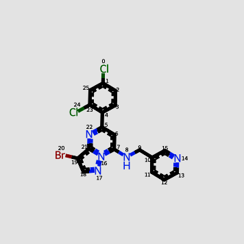 Clc1ccc(-c2cc(NCc3cccnc3)n3ncc(Br)c3n2)c(Cl)c1